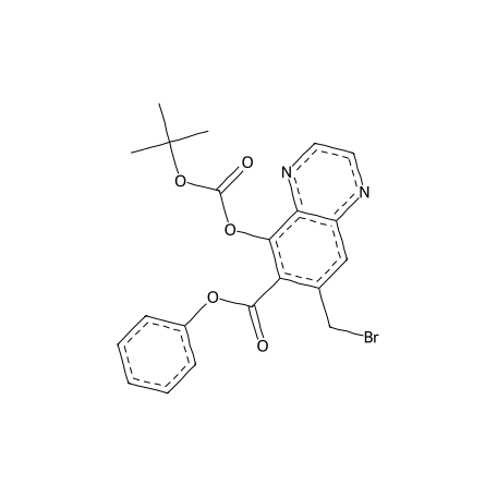 CC(C)(C)OC(=O)Oc1c(C(=O)Oc2ccccc2)c(CBr)cc2nccnc12